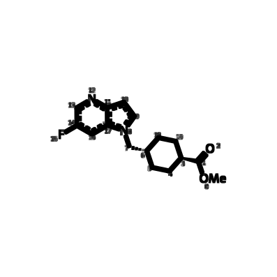 COC(=O)[C@H]1CC[C@H](Cn2ccc3ncc(F)cc32)CC1